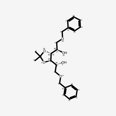 CC1(C)O[C@H]([C@H](O)COCc2ccccc2)[C@@H]([C@H](O)COCc2ccccc2)O1